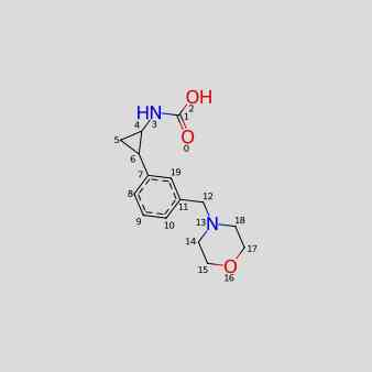 O=C(O)NC1CC1c1cccc(CN2CCOCC2)c1